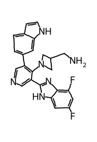 NCC1CN(c2c(-c3ccc4cc[nH]c4c3)cncc2-c2nc3c(F)cc(F)cc3[nH]2)C1